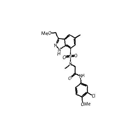 COCc1n[nH]c2c(S(=O)(=O)N(C)CC(=O)Nc3ccc(OC)c(Cl)c3)cc(C)cc12